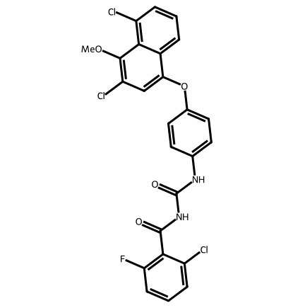 COc1c(Cl)cc(Oc2ccc(NC(=O)NC(=O)c3c(F)cccc3Cl)cc2)c2cccc(Cl)c12